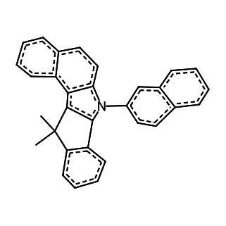 CC1(C)c2ccccc2-c2c1c1c3ccccc3ccc1n2-c1ccc2ccccc2c1